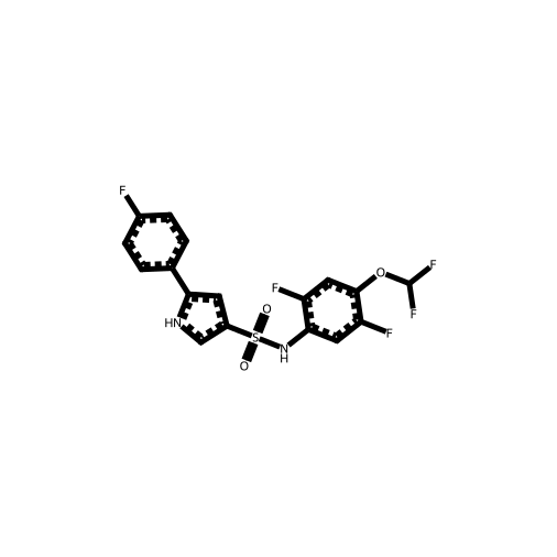 O=S(=O)(Nc1cc(F)c(OC(F)F)cc1F)c1c[nH]c(-c2ccc(F)cc2)c1